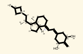 C=C1[C@H](O)CC(=C/C=C2\CCC[C@]3(C)[C@@H]([C@H](C)CN4CC(F)C4)CC[C@@H]23)C[C@H]1O